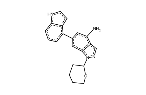 Nc1cc(-c2cccc3[nH]ccc23)cc2c1cnn2C1CCCCO1